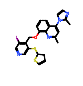 Cc1cc(-n2ccnc2C)c2cccc(OCc3c(I)cncc3SC3CC=CS3)c2n1